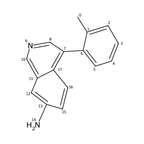 Cc1ccccc1-c1cncc2cc(N)ccc12